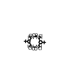 CC(C)(C)c1cc2cc(c1)C(CCl)NC(=O)C(=O)NC(CCl)c1cc(cc(C(C)(C)C)c1)C(CCl)NC(=O)C(=O)NC2CCl